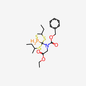 CCOC(=O)CN(C(=O)OCc1ccccc1)C([PH2]=S)(SC(C)CC)SC(C)CC